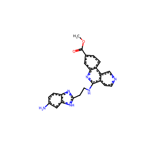 COC(=O)c1ccc2c(c1)nc(NCCc1nc3ccc(N)cc3[nH]1)c1ccncc12